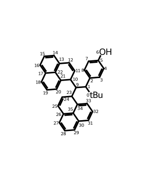 CC(C)(C)C(c1ccc(O)cc1)C(C1C=Cc2cccc3cccc1c23)C1C=Cc2cccc3cccc1c23